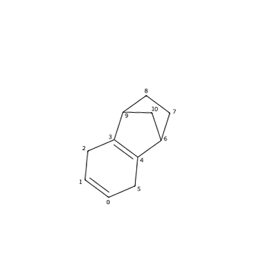 C1=CCC2=C(C1)C1CCC2C1